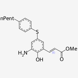 CCCCCc1ccc(Sc2cc(N)c(O)c(/C=C/C(=O)OC)c2)cc1